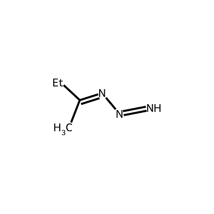 CCC(C)=NN=N